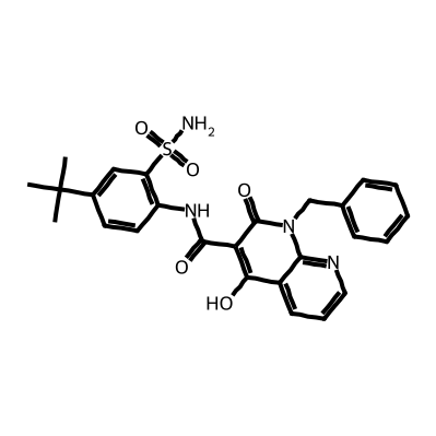 CC(C)(C)c1ccc(NC(=O)c2c(O)c3cccnc3n(Cc3ccccc3)c2=O)c(S(N)(=O)=O)c1